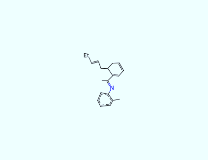 CCC=CCC1CC=CC=C1/C(C)=N/c1ccccc1C